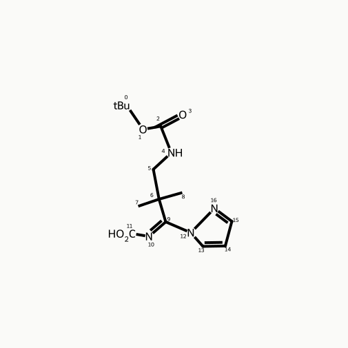 CC(C)(C)OC(=O)NCC(C)(C)C(=NC(=O)O)n1cccn1